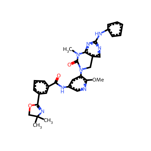 COc1ncc(NC(=O)c2cccc(C3=NC(C)(C)CO3)c2)cc1N1Cc2cnc(Nc3ccccc3)nc2N(C)C1=O